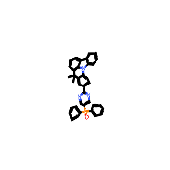 CC1(C)c2cc(-c3ncc(P(=O)(c4ccccc4)c4ccccc4)cn3)ccc2-n2c3ccccc3c3cccc1c32